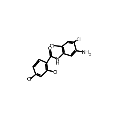 Nc1cc(NC(=O)c2ccc(Cl)cc2Cl)c(Cl)cc1Cl